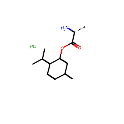 CC1CCC(C(C)C)C(OC(=O)[C@@H](C)N)C1.Cl